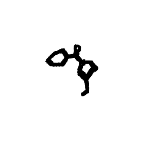 CCC1CCN(C(=O)C2CCCCC2)C1